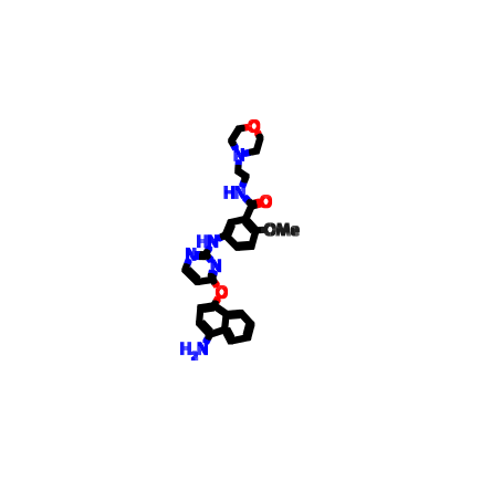 COc1ccc(Nc2nccc(Oc3ccc(N)c4ccccc34)n2)cc1C(=O)NCCN1CCOCC1